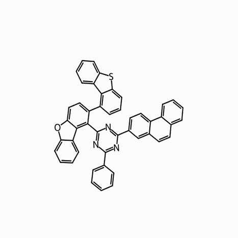 c1ccc(-c2nc(-c3ccc4c(ccc5ccccc54)c3)nc(-c3c(-c4cccc5sc6ccccc6c45)ccc4oc5ccccc5c34)n2)cc1